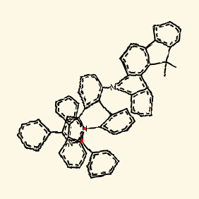 CC1(C)c2ccccc2-c2ccc3c(c21)c1ccccc1n3-c1cccc(-c2cc(-c3ccccc3)nc(-c3ccccc3)n2)c1-c1ccccc1-n1c2ccccc2c2ccccc21